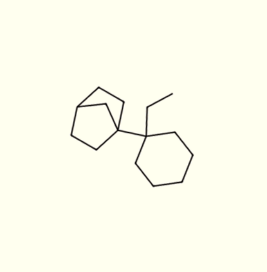 CCC1(C23CCC(CC2)C3)CCCCC1